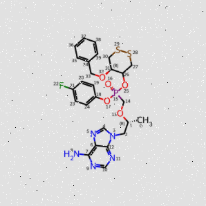 C[C@H](Cn1cnc2c(N)ncnc21)OCP(=O)(Oc1ccc(F)cc1)OC1CSSC[C@@H]1OCc1ccccc1